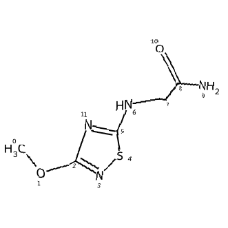 COc1nsc(NCC(N)=O)n1